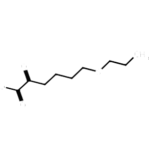 CCCSCCCCC(=O)C(=O)O